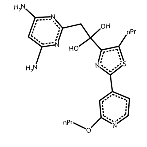 CCCOc1cc(-c2nc(C(O)(O)Cc3nc(N)cc(N)n3)c(CCC)s2)ccn1